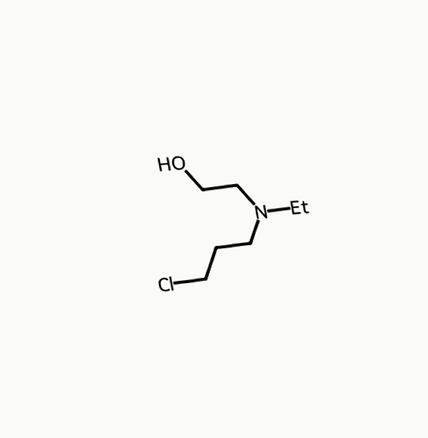 CCN(CCO)CCCCl